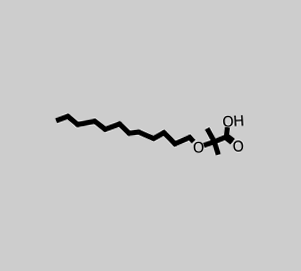 CCCCCCCCCCCCOC(C)(C)C(=O)O